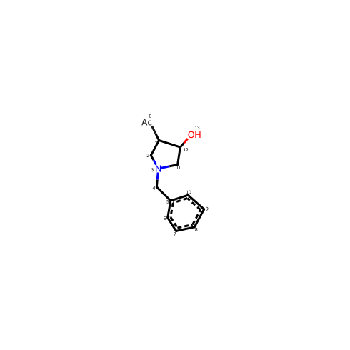 CC(=O)C1CN(Cc2ccccc2)CC1O